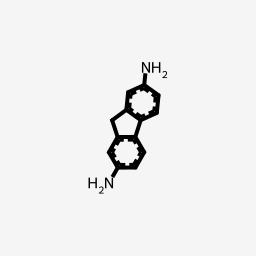 Nc1ccc2c(c1)Cc1cc(N)ccc1-2